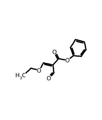 CCOC=C(C=O)C(=O)Oc1ccccc1